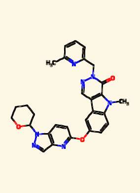 Cc1cccc(Cn2ncc3c4cc(Oc5ccc6c(cnn6C6CCCCO6)n5)ccc4n(C)c3c2=O)n1